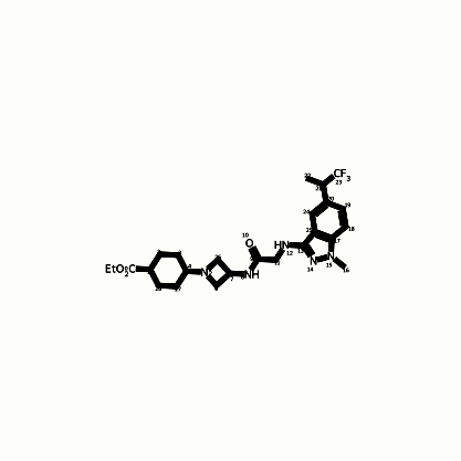 CCOC(=O)C1CCC(N2CC(NC(=O)CNc3nn(C)c4ccc(C(C)C(F)(F)F)cc34)C2)CC1